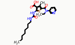 CCCCCCCCNC(=O)Nc1sc(C(=O)N(CC)c2cccnc2)c(C)c1C(=O)O